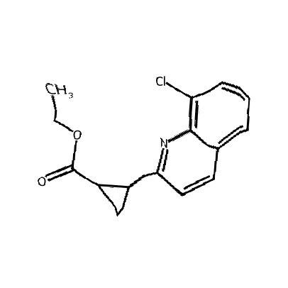 CCOC(=O)C1CC1c1ccc2cccc(Cl)c2n1